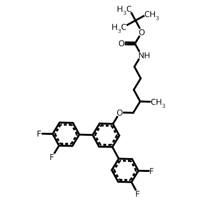 CC(CCCNC(=O)OC(C)(C)C)COc1cc(-c2ccc(F)c(F)c2)cc(-c2ccc(F)c(F)c2)c1